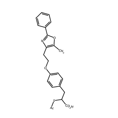 CC(=O)SC(Cc1ccc(OCCc2nc(-c3ccccc3)oc2C)cc1)C(=O)O